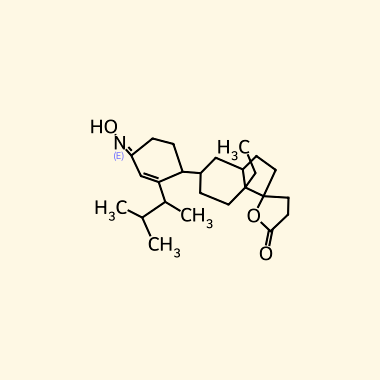 CCC12CCC(C3CC/C(=N\O)C=C3C(C)C(C)C)CC1CCC21CCC(=O)O1